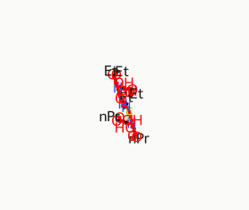 CCCOC(=O)CCCC(O)CN(CCCSSCCN1CCN(CCOC(=O)CCCN(CC(O)CCCC(=O)OC(CC)CC)CC(O)CCCC(=O)OC(CC)CC)CC1)CC(O)CCCC(=O)OCCC